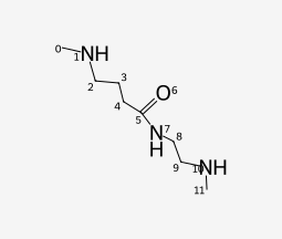 CNCCCC(=O)NCCNC